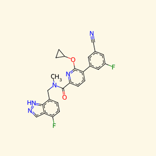 CN(Cc1ccc(F)c2cn[nH]c12)C(=O)c1ccc(-c2cc(F)cc(C#N)c2)c(OC2CC2)n1